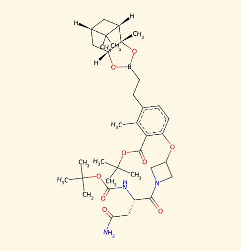 Cc1c(CCB2O[C@@H]3C[C@@H]4C[C@@H](C4(C)C)[C@]3(C)O2)ccc(OC2CN(C(=O)[C@H](CC(N)=O)NC(=O)OC(C)(C)C)C2)c1C(=O)OC(C)(C)C